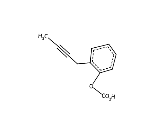 CC#CCc1ccccc1OC(=O)O